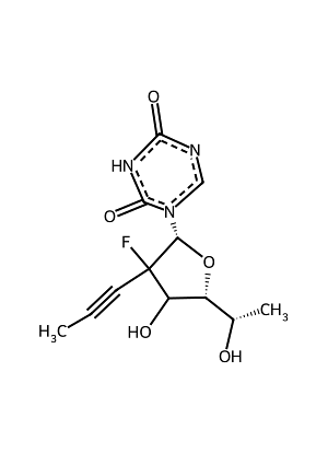 CC#CC1(F)C(O)[C@@H]([C@H](C)O)O[C@H]1n1cnc(=O)[nH]c1=O